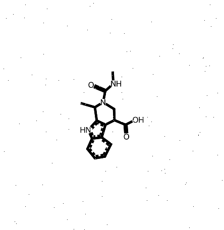 CNC(=O)N1CC(C(=O)O)c2c([nH]c3ccccc23)C1C